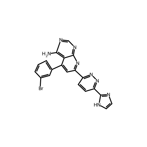 Nc1ncnc2nc(-c3ccc(-c4ncc[nH]4)nn3)cc(-c3cccc(Br)c3)c12